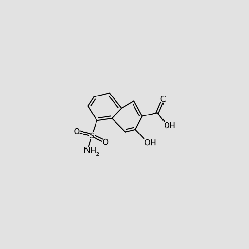 NS(=O)(=O)c1cccc2cc(C(=O)O)c(O)cc12